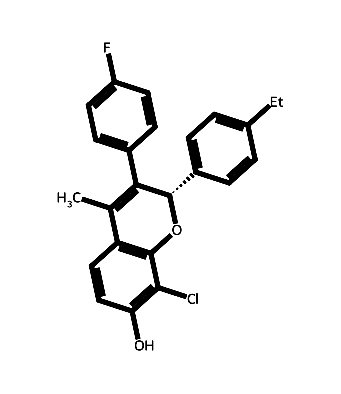 CCc1ccc([C@@H]2Oc3c(ccc(O)c3Cl)C(C)=C2c2ccc(F)cc2)cc1